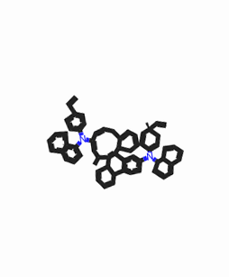 C=Cc1ccc(N(C2=C/C(C)C3=C(c4cc(N(C5=CC[C@@](C)(C=C)C=C5)C5C=CC=C6C=CC=CC65)ccc4C4C=CC=CC34)C3CC=CC=C3C/C=C\2)c2cccc3ccccc23)cc1